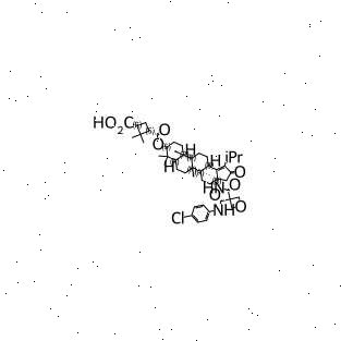 CC(C)C1=C2[C@H]3CC[C@@H]4[C@@]5(C)CC[C@H](OC(=O)[C@H]6C[C@@H](C(=O)O)C6(C)C)C(C)(C)[C@@H]5CC[C@@]4(C)[C@]3(C)CC[C@@]2(NC(=O)C2(C(=O)Nc3ccc(Cl)cc3)COC2)CC1=O